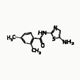 Cc1ccc(C(=O)Nc2ncc(N)s2)c(C)c1